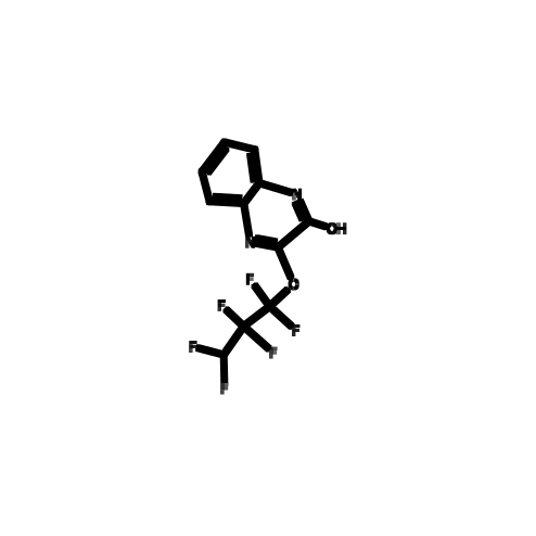 Oc1nc2ccccc2nc1OC(F)(F)C(F)(F)C(F)F